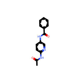 CC(=O)Nc1ccc(NC(=O)c2ccccc2)cn1